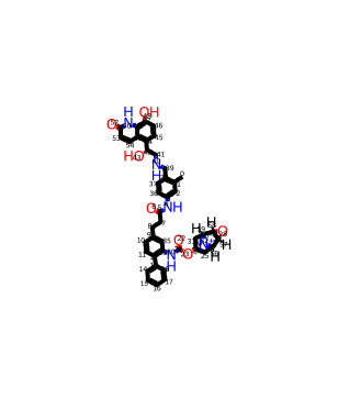 Cc1cc(NC(=O)CCc2ccc(-c3ccccc3)c(NC(=O)OC3C[C@@H]4[C@H]5O[C@H]5[C@H](C3)[N+]4(C)C)c2)ccc1CNC[C@H](O)c1ccc(O)c2[nH]c(=O)ccc12